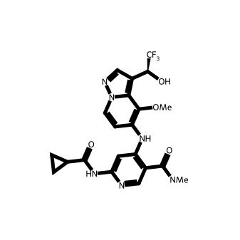 CNC(=O)c1cnc(NC(=O)C2CC2)cc1Nc1ccn2ncc([C@H](O)C(F)(F)F)c2c1OC